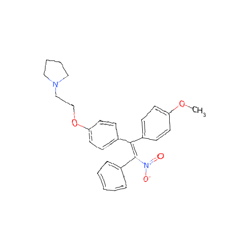 COc1ccc(C(=C(c2ccccc2)[N+](=O)[O-])c2ccc(OCCN3CCCC3)cc2)cc1